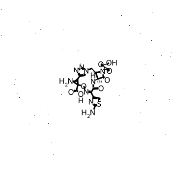 NCc1cn(C[C@@H]2[C@H](NC(=O)C(=NOC3(C(=O)O)CC3)c3csc(N)n3)C(=O)N2S(=O)(=O)O)nn1